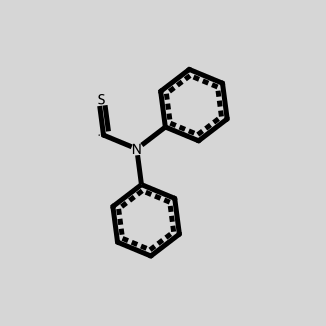 S=[C]N(c1ccccc1)c1ccccc1